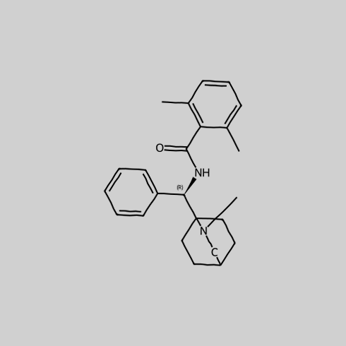 Cc1cccc(C)c1C(=O)N[C@H](c1ccccc1)C12CCC(CC1)CN2C